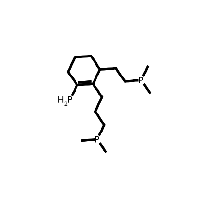 CP(C)CCCC1=C(P)CCCC1CCP(C)C